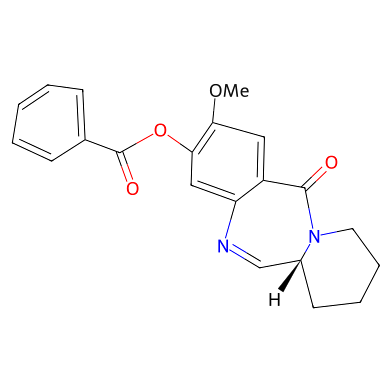 COc1cc2c(cc1OC(=O)c1ccccc1)N=C[C@H]1CCCCN1C2=O